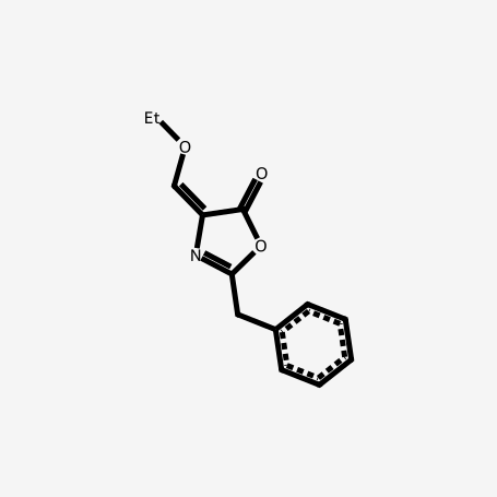 CCOC=C1N=C(Cc2ccccc2)OC1=O